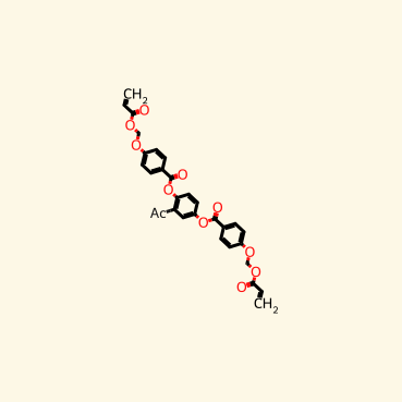 C=CC(=O)OCOc1ccc(C(=O)Oc2ccc(OC(=O)c3ccc(OCOC(=O)C=C)cc3)c(C(C)=O)c2)cc1